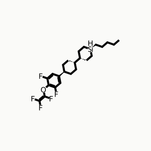 CCCCC[Si@H]1CC[C@H]([C@H]2CC[C@H](c3cc(F)c(OC(F)=C(F)F)c(F)c3)CC2)CC1